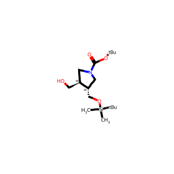 CC(C)(C)OC(=O)N1C[C@H](CO)[C@@H](CO[Si](C)(C)C(C)(C)C)C1